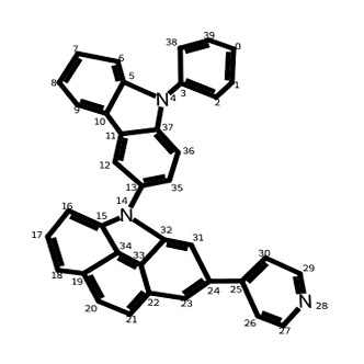 c1ccc(-n2c3ccccc3c3cc(-n4c5cccc6ccc7cc(-c8ccncc8)cc4c7c65)ccc32)cc1